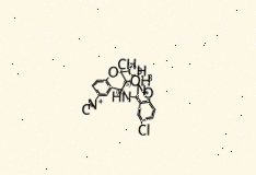 [C-]#[N+]c1ccc2c(c1)[C@@H](Nc1noc3ccc(Cl)cc13)[C@H](O)C(C)(C)O2